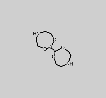 C1COB(B2OCCNCCO2)OCCN1